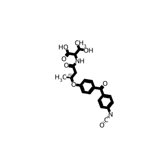 CC(O)C(NC(=O)C[C@H](C)Oc1ccc(C(=O)c2ccc(N=C=O)cc2)cc1)C(=O)O